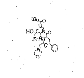 CC(C)CC(C(=O)O)N(COC(=O)C(C)(C)C)C(=O)C(CCc1ccccc1)NC(=O)CN1CCOCC1